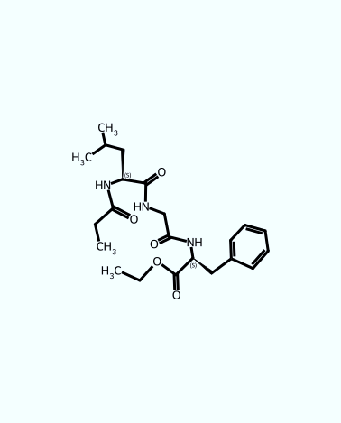 CCOC(=O)[C@H](Cc1ccccc1)NC(=O)CNC(=O)[C@H](CC(C)C)NC(=O)CC